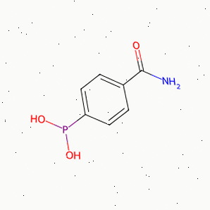 NC(=O)c1ccc(P(O)O)cc1